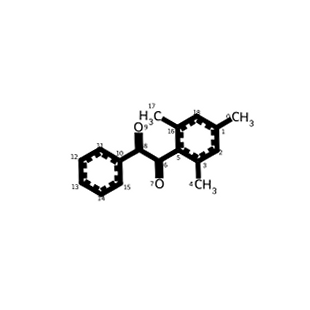 Cc1cc(C)c(C(=O)C(=O)c2ccccc2)c(C)c1